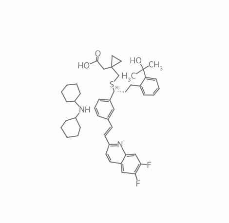 C1CCC(NC2CCCCC2)CC1.CC(C)(O)c1ccccc1CC[C@@H](SCC1(CC(=O)O)CC1)c1cccc(C=Cc2ccc3cc(F)c(F)cc3n2)c1